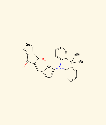 CCCC[Si]1(CCCC)c2ccccc2N(c2ccc(C=C3C(=O)c4c[se]cc4C3=O)[se]2)c2ccccc21